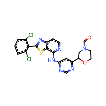 O=CN1CCOC(c2cc(Nc3nccc4nc(-c5c(Cl)cccc5Cl)sc34)ncn2)C1